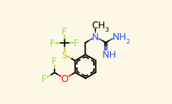 CN(Cc1cccc(OC(F)F)c1SC(F)(F)F)C(=N)N